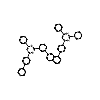 c1ccc(-c2ccc(-c3nc(-c4ccccc4)nc(-c4cccc(-c5ccc6cccc(-c7ccc(-c8cc(-c9ccccc9)nc(-c9ccccc9)n8)cc7)c6c5)c4)n3)cc2)cc1